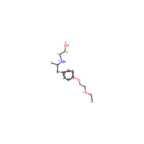 CCOCCOc1ccc(CC(C)NCCO)cc1